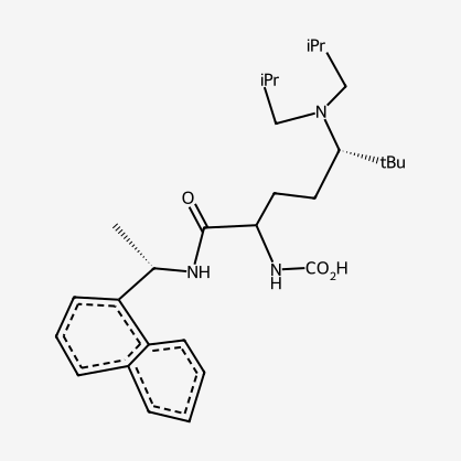 CC(C)CN(CC(C)C)[C@@H](CCC(NC(=O)O)C(=O)N[C@@H](C)c1cccc2ccccc12)C(C)(C)C